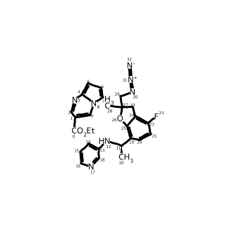 CCOC(=O)c1cnc2cccn2c1.C[C@@H](Nc1cccnc1)c1ccc(F)c2c1OC(C)(CN=[N+]=[N-])C2